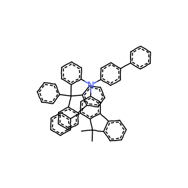 CC1(C)c2ccccc2-c2cc(N(c3ccc(-c4ccccc4)cc3)c3ccccc3C3(c4ccccc4)c4ccccc4-c4ccccc43)cc(-c3ccccc3)c21